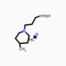 C#N.CCCCCCCCCCN1CCC(C)CC1